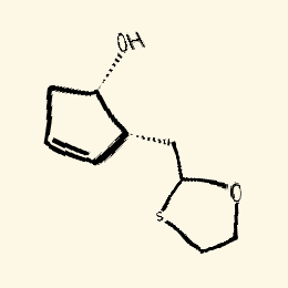 O[C@H]1CC=C[C@H]1CC1OCCS1